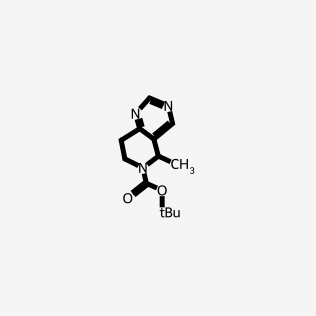 CC1c2cncnc2CCN1C(=O)OC(C)(C)C